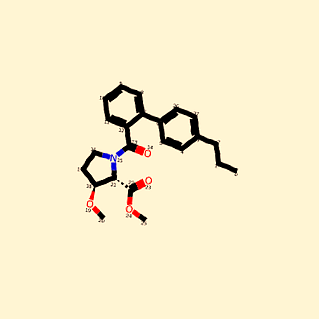 CCCc1ccc(-c2ccccc2C(=O)N2CC[C@H](OC)[C@H]2C(=O)OC)cc1